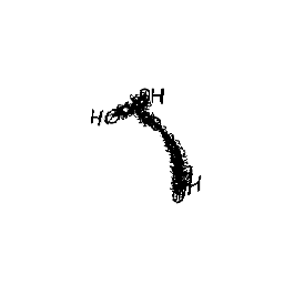 Cc1c(-c2ccc(O)cc2)n(Cc2ccc(OCCCCN3CCN(c4cc5c(s4)CN(C4CCC(=O)NC4=O)C5=O)CC3)cc2)c2ccc(O)cc12